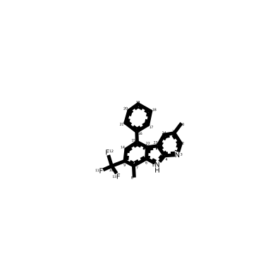 Cc1cnc2[nH]c3c(C)c(C(F)(F)F)cc(-c4ccccc4)c3c2c1